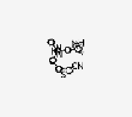 C[C@@H]1C[C@@H]2C[C@H](C)CC(c3ccc(-c4nc(-c5ccccc5)nc(-c5cccc(-c6ccc7c(c6)C6C=C(C#N)C=CC6S7)c5)n4)cc3)(C1)C2